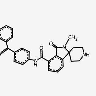 CN1C(=O)c2c(C(=O)Nc3ccc(C(=O)c4ccccc4)cc3)cccc2C12CCNCC2